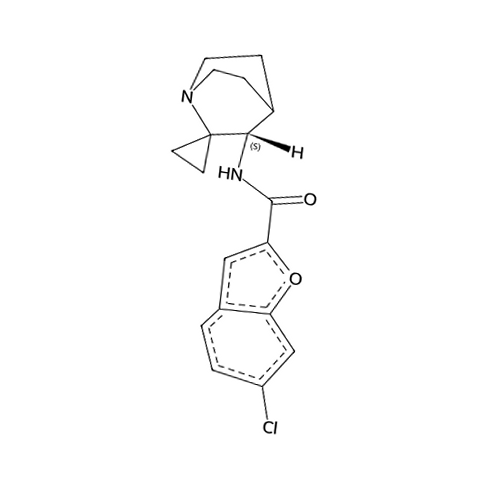 O=C(N[C@H]1C2CCN(CC2)C12CC2)c1cc2ccc(Cl)cc2o1